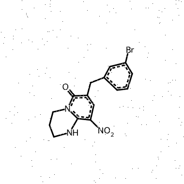 O=c1c(Cc2cccc(Br)c2)cc([N+](=O)[O-])c2n1CCCN2